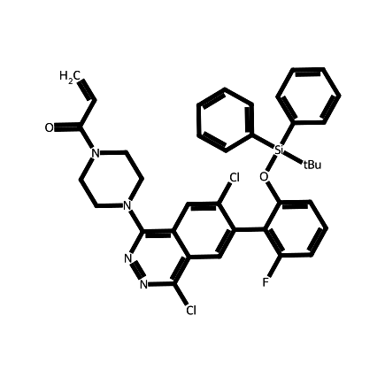 C=CC(=O)N1CCN(c2nnc(Cl)c3cc(-c4c(F)cccc4O[Si](c4ccccc4)(c4ccccc4)C(C)(C)C)c(Cl)cc23)CC1